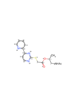 CC(=O)NCC(C)OC(=O)CSc1nccc(-c2ccccn2)n1